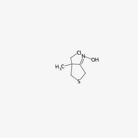 CC1(CCl)CSCC1=NO